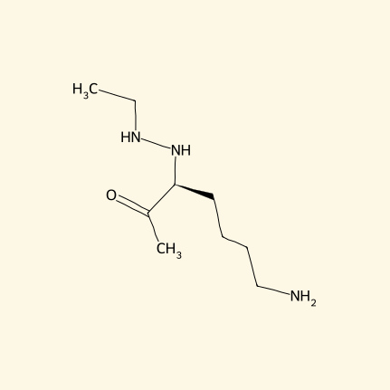 CCNN[C@@H](CCCCN)C(C)=O